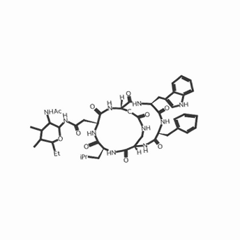 CCC1OC(NC(=O)C[C@@H]2NC(=O)[C@H](CC(C)C)NC(=O)[C@@H]3CNC(=O)C[C@H](NC2=O)C(=O)N[C@@H](Cc2c[nH]c4ccccc24)C(=O)N[C@@H](Cc2ccccc2)C(=O)N3)C(NC(C)=O)C(C)C1C